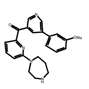 COc1cccc(-c2cncc(C(=O)c3cccc(N4CCCNCC4)n3)c2)c1